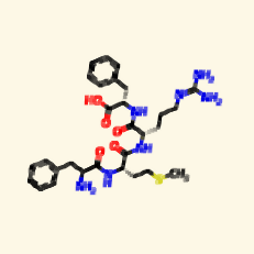 CSCC[C@H](NC(=O)[C@@H](N)Cc1ccccc1)C(=O)N[C@@H](CCCN=C(N)N)C(=O)N[C@@H](Cc1ccccc1)C(=O)O